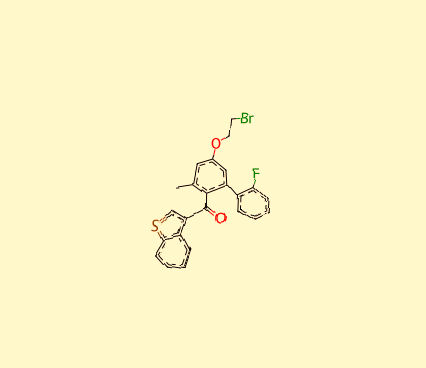 Cc1cc(OCCBr)cc(-c2ccccc2F)c1C(=O)c1csc2ccccc12